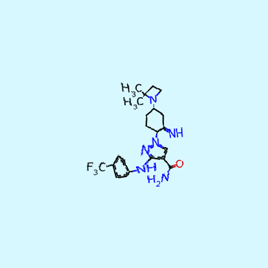 CC1(C)CCN1[C@H]1CC[C@H](n2cc(C(N)=O)c(Nc3ccc(C(F)(F)F)cc3)n2)C(=N)C1